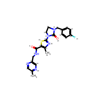 Cc1cnc(CNC(=O)c2sc(N3CCN(Cc4ccc(F)cc4)C3=O)nc2C)cn1